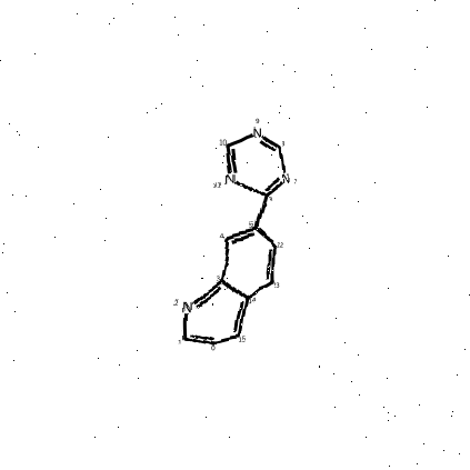 c1cnc2cc(-c3ncncn3)ccc2c1